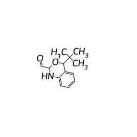 CC(C)(C)C1OC(C=O)Nc2ccccc21